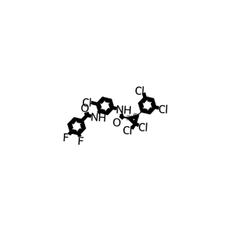 O=C(Nc1cc(NC(=O)[C@H]2[C@H](c3cc(Cl)cc(Cl)c3)C2(Cl)Cl)ccc1Cl)c1ccc(F)c(F)c1